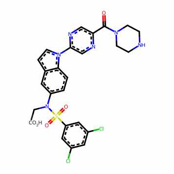 O=C(O)CN(c1ccc2c(ccn2-c2cnc(C(=O)N3CCNCC3)cn2)c1)S(=O)(=O)c1cc(Cl)cc(Cl)c1